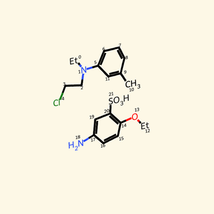 CCN(CCCl)c1cccc(C)c1.CCOc1ccc(N)cc1S(=O)(=O)O